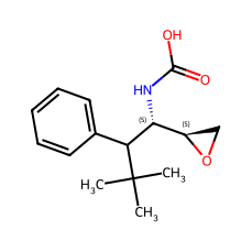 CC(C)(C)C(c1ccccc1)[C@H](NC(=O)O)[C@H]1CO1